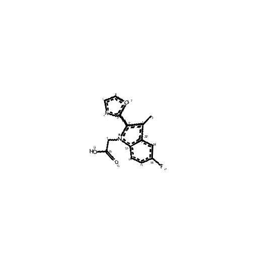 Cc1c(-c2ncco2)n(CC(=O)O)c2ccc(F)cc12